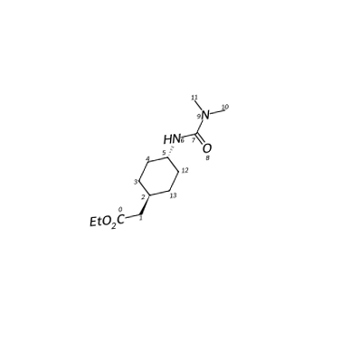 CCOC(=O)C[C@H]1CC[C@H](NC(=O)N(C)C)CC1